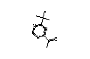 CC(=O)c1ccnc(C(C)(C)C)n1